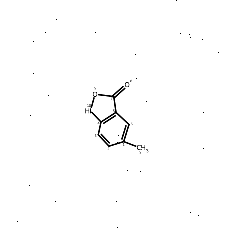 Cc1ccc2c(c1)C(=O)O[IH]2